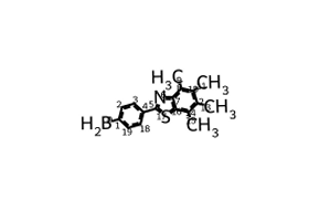 Bc1ccc(-c2nc3c(C)c(C)c(C)c(C)c3s2)cc1